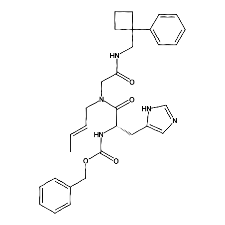 C/C=C/CN(CC(=O)NCC1(c2ccccc2)CCC1)C(=O)[C@H](Cc1cnc[nH]1)NC(=O)OCc1ccccc1